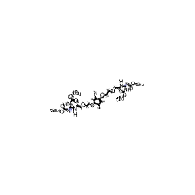 CC(C)(C)OC(=O)/N=C(/NCCOCCOc1cc(I)c(OCCOCCN/C(=N/C(=O)OC(C)(C)C)NC(=O)OC(C)(C)C)cc1I)NC(=O)OC(C)(C)C